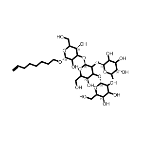 C=CCCCCCCO[C@@H]1OC(CO)[C@H](O)C(O[C@@H]2OC(CO)[C@H](O)C(O[C@H]3OC(CO)[C@H](O)C(O)C3O)C2O[C@@H]2OC(C)[C@@H](O)C(O)C2O)C1O